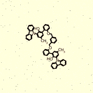 Cc1cc(-c2ccccc2OCc2cccc(COc3ccccc3-c3cc(C)cc(-n4c5ccccc5c5ccccc54)c3O)c2)c(O)c(-n2c3ccccc3c3ccccc32)c1